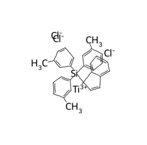 Cc1cccc([Si](c2cccc(C)c2)(c2cccc(C)c2)[C]2([Ti+3])C=Cc3ccccc32)c1.[Cl-].[Cl-].[Cl-]